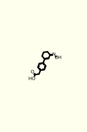 O=C(O)Cc1ccc(C2=CC(=NO)CCC2)cc1